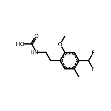 COc1cc(C(F)F)c(C)cc1CCNC(=O)O